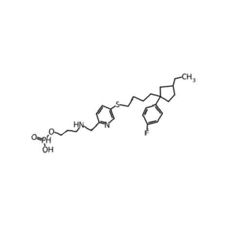 CCC1CCC(CCCCSc2ccc(CNCCCO[PH](=O)O)nc2)(c2ccc(F)cc2)C1